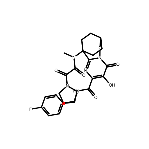 CN(C(=O)C(=O)N1CCCC1)C12CCC(CC1)Cn1c2nc(C(=O)NCc2ccc(F)cc2)c(O)c1=O